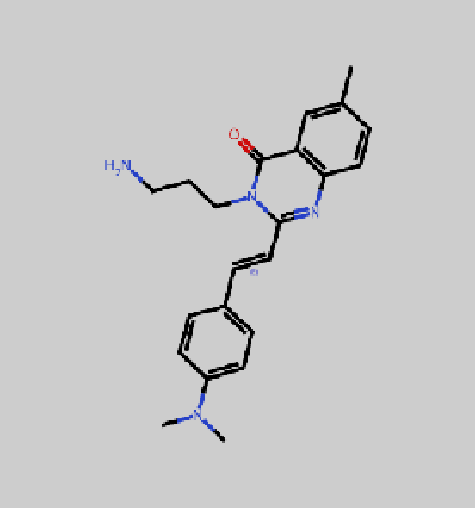 Cc1ccc2nc(/C=C/c3ccc(N(C)C)cc3)n(CCCN)c(=O)c2c1